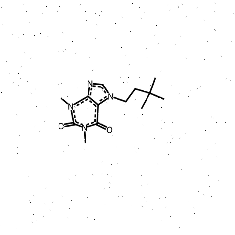 Cn1c(=O)c2c(ncn2CCC(C)(C)C)n(C)c1=O